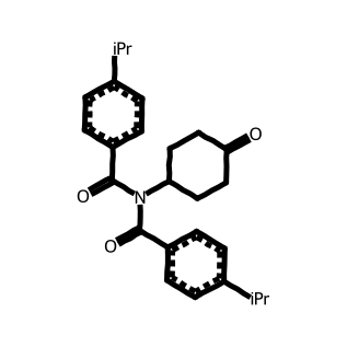 CC(C)c1ccc(C(=O)N(C(=O)c2ccc(C(C)C)cc2)C2CCC(=O)CC2)cc1